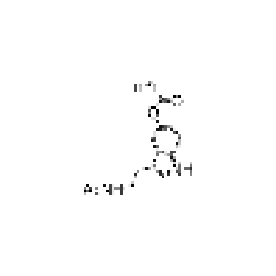 CCCC(=O)Oc1ccc2[nH]cc(CCNC(C)=O)c2c1